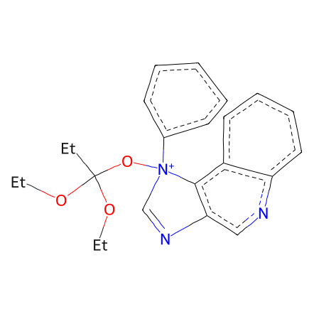 CCOC(CC)(OCC)O[N+]1(c2ccccc2)C=Nc2cnc3ccccc3c21